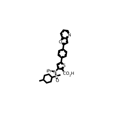 CC1CCC(P(C)(=O)N(c2cc(-c3ccc(-c4cc5ncccc5o4)cc3)sc2C(=O)O)C(C)C)CC1